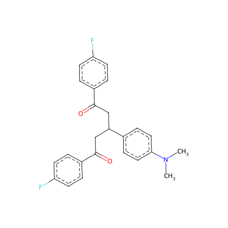 CN(C)c1ccc(C(CC(=O)c2ccc(F)cc2)CC(=O)c2ccc(F)cc2)cc1